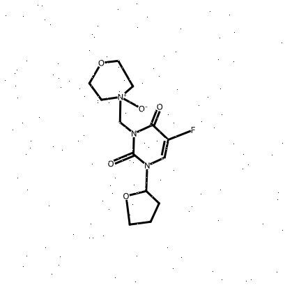 O=c1c(F)cn(C2CCCO2)c(=O)n1C[N+]1([O-])CCOCC1